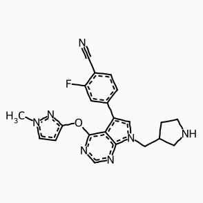 Cn1ccc(Oc2ncnc3c2c(-c2ccc(C#N)c(F)c2)cn3CC2CCNC2)n1